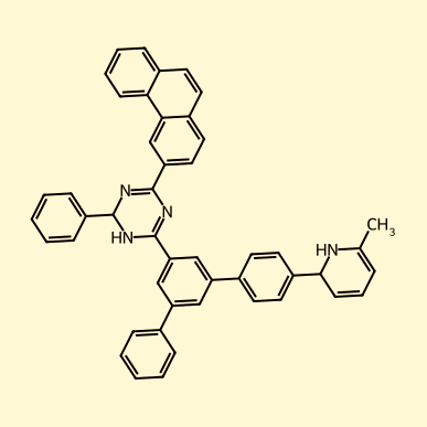 CC1=CC=CC(c2ccc(-c3cc(C4=NC(c5ccc6ccc7ccccc7c6c5)=NC(c5ccccc5)N4)cc(-c4ccccc4)c3)cc2)N1